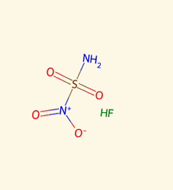 F.NS(=O)(=O)[N+](=O)[O-]